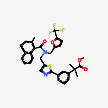 COC(=O)C(C)(C)c1cccc(-c2ncc(CN(Cc3ccc(C(F)(F)F)o3)C(=O)c3c(C)ccc4ccccc34)s2)c1